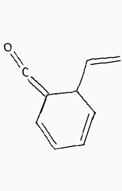 C=CC1C=CC=CC1=C=O